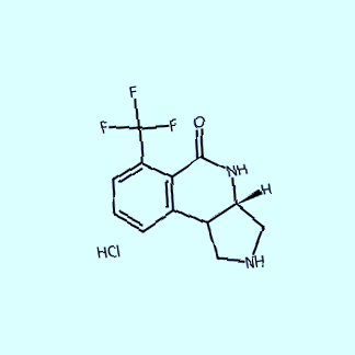 Cl.O=C1N[C@@H]2CNCC2c2cccc(C(F)(F)F)c21